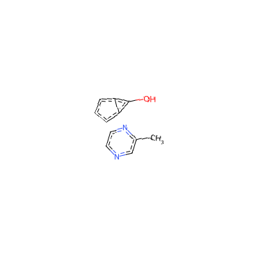 Cc1cnccn1.Oc1c2cccc1-2